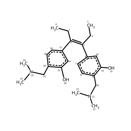 CCC(=C(CC)c1ccc(CN(C)C)c(O)c1)c1ccc(CN(C)C)c(O)c1